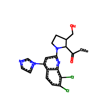 COC(=O)C1C(CO)CCN1c1cc(-n2ccnc2)c2ccc(Cl)c(Cl)c2n1